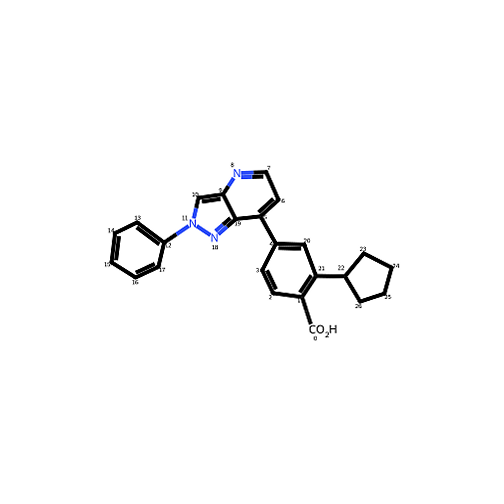 O=C(O)c1ccc(-c2ccnc3cn(-c4ccccc4)nc23)cc1C1CCCC1